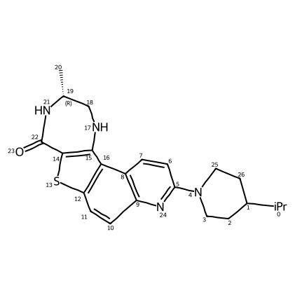 CC(C)C1CCN(c2ccc3c(ccc4sc5c(c43)NC[C@@H](C)NC5=O)n2)CC1